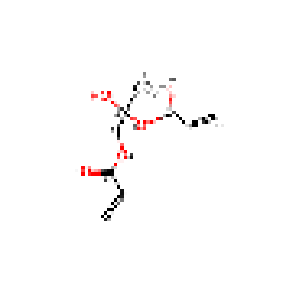 C=CC(=O)OCC(O)(OC(=O)C=C)C(=O)O